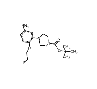 CC(C)(C)OC(=O)N1CCN(c2cc(N)ccc2OCCF)CC1